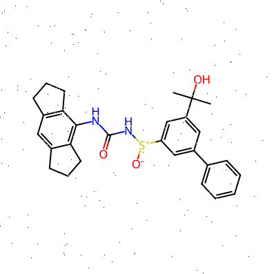 CC(C)(O)c1cc(-c2ccccc2)cc([S+]([O-])NC(=O)Nc2c3c(cc4c2CCC4)CCC3)c1